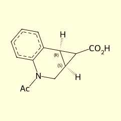 CC(=O)N1C[C@@H]2C(C(=O)O)[C@@H]2c2ccccc21